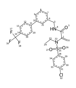 C=C(C(=O)NCc1cccc(-c2ccc(C(F)(F)F)cc2)c1)N(CC)S(=O)(=O)c1ccc(Cl)cc1